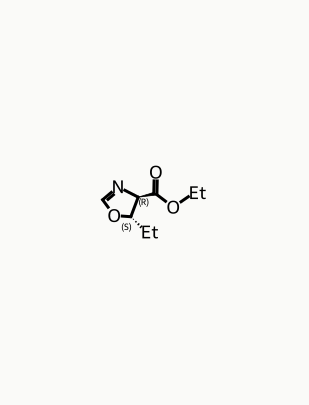 CCOC(=O)[C@@H]1N=CO[C@H]1CC